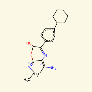 CC/N=C1/OC(O)C(c2ccc(C3CCCCC3)cc2)=N/C1=C(/C)N